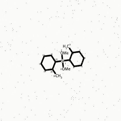 CO[Si](OC)(C1CCCCC1C)C1CCCCC1C